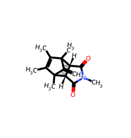 C=C1C2(C)C(C)=C(C)C1(C)[C@H]1C(=O)N(C)C(=O)[C@H]12